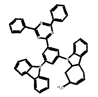 CC1C=CCC2c3ccccc3N(c3cc(-c4nc(-c5ccccc5)nc(-c5ccccc5)n4)cc(-n4c5ccccc5c5ccccc54)c3)C2C1